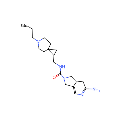 CC(C)(C)CCN1CCC2(CC1)CC2CNC(=O)N1CC2=CN=C(N)CC2C1